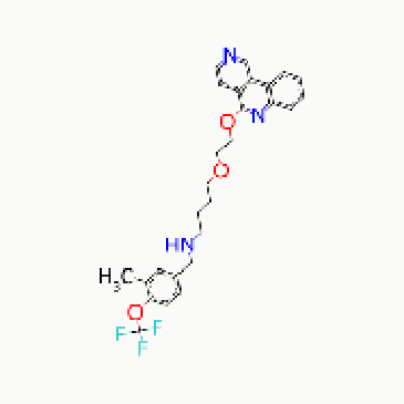 Cc1cc(CNCCCCOCCOc2nc3ccccc3c3cnccc23)ccc1OC(F)(F)F